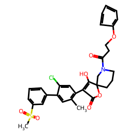 Cc1cc(-c2cccc(S(C)(=O)=O)c2)c(Cl)cc1C1=C(O)C2(CCCN(C(=O)CCOc3ccccc3)C2)OC1=O